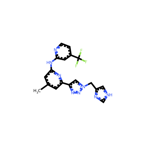 Cc1cc(Nc2cc(C(F)(F)F)ccn2)nc(-c2cn(Cc3c[nH]cn3)nn2)c1